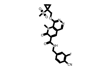 Cn1c(=O)c(C(=O)NCc2ccc(C#N)c(F)c2)cc2cnnc(OCC3(S(C)(=O)=O)CC3)c21